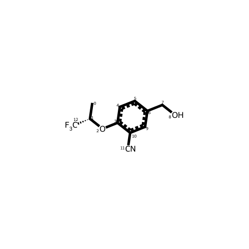 C[C@H](Oc1ccc(CO)cc1C#N)C(F)(F)F